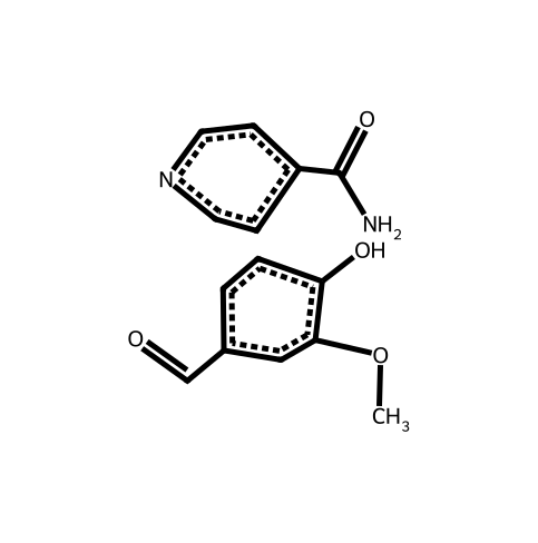 COc1cc(C=O)ccc1O.NC(=O)c1ccncc1